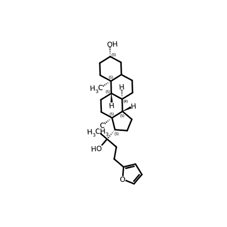 CC(O)(CCc1ccco1)[C@H]1CC[C@H]2[C@@H]3CCC4C[C@@H](O)CC[C@]4(C)[C@H]3CC[C@]12C